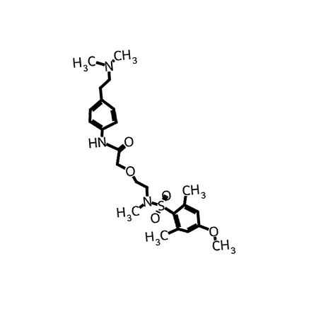 COc1cc(C)c(S(=O)(=O)N(C)CCOCC(=O)Nc2ccc(CCN(C)C)cc2)c(C)c1